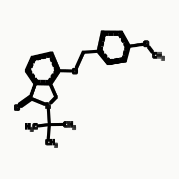 COc1ccc(COc2cccc3c2CN(C(C)(C)C)C3=O)cc1